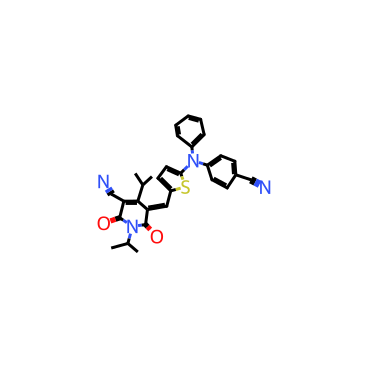 CC(C)C1=C(C#N)C(=O)N(C(C)C)C(=O)/C1=C/c1ccc(N(c2ccccc2)c2ccc(C#N)cc2)s1